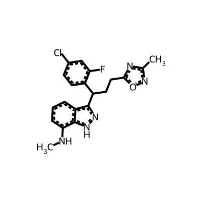 CNc1cccc2c(C(CCc3nc(C)no3)c3ccc(Cl)cc3F)n[nH]c12